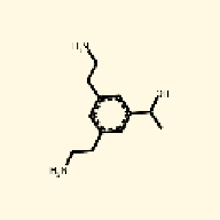 CC(O)c1cc(CCN)cc(CCN)c1